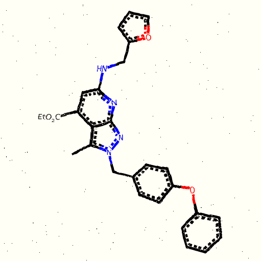 CCOC(=O)c1cc(NCc2ccco2)nc2nn(Cc3ccc(Oc4ccccc4)cc3)c(C)c12